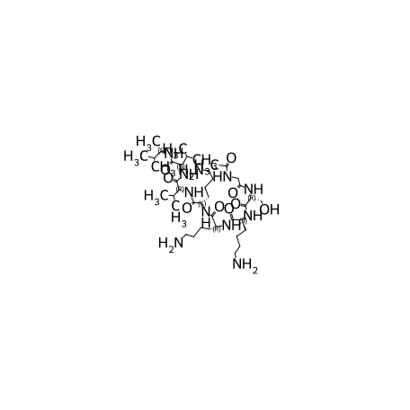 CC(=O)NCC(=O)N[C@H](CO)C(=O)N[C@@H](CCCCN)C(=O)N[C@H](CCCCN)C(=O)N[C@@H](CCCCN)C(=O)N[C@@H](C(=O)N[C@H](C(=O)N[C@@H](C)C(C)C)C(C)C)C(C)C